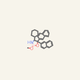 COB1NC(C2CCCCC2)C(c2ccc3ccccc3c2)(c2ccc3ccccc3c2)O1